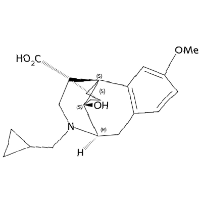 COc1ccc2c(c1)[C@]13CCN(CC4CC4)[C@H](C2)[C@]1(O)C[C@@H](C(=O)O)C3